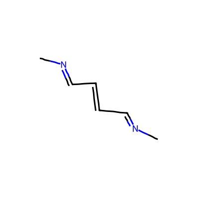 CN=CC=CC=NC